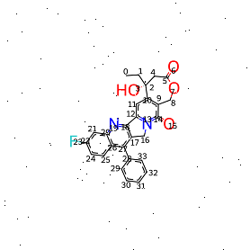 CC[C@@]1(O)CC(=O)OCc2c1cc1n(c2=O)Cc2c-1nc1cc(F)ccc1c2-c1ccccc1